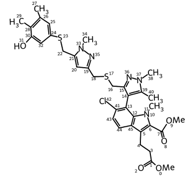 COC(=O)CCc1c(C(=O)OC)n(C)c2c(-c3c(CSCc4cc(CSc5cc(C)c(C)c(O)c5)n(C)n4)nn(C)c3C)c(Cl)ccc12